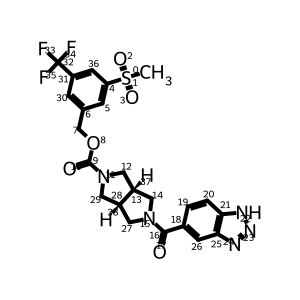 CS(=O)(=O)c1cc(COC(=O)N2C[C@@H]3CN(C(=O)c4ccc5[nH]nnc5c4)C[C@@H]3C2)cc(C(F)(F)F)c1